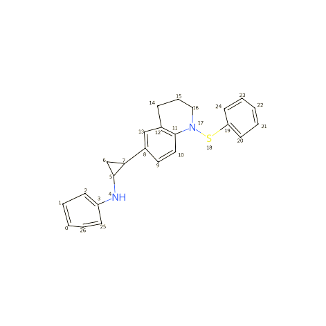 c1ccc(NC2CC2c2ccc3c(c2)CCCN3Sc2ccccc2)cc1